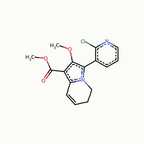 COC(=O)c1c(OC)c(-c2cccnc2Cl)n2c1C=CCC2